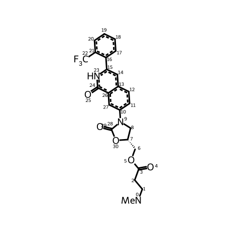 CNCCC(=O)OC[C@H]1CN(c2ccc3cc(-c4ccccc4C(F)(F)F)[nH]c(=O)c3c2)C(=O)O1